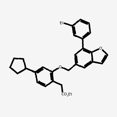 CCOC(=O)Cc1ccc(C2CCCC2)cc1OCc1cc(-c2cccc(CC)c2)c2occc2c1